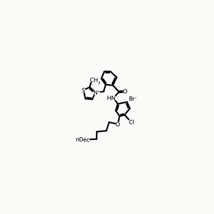 CCCCCCCCCCCCCCOc1cc(NC(=O)c2ccccc2C[n+]2ccsc2C)ccc1Cl.[Br-]